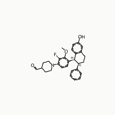 COc1c([C@H]2c3ccc(O)cc3CC[C@H]2c2ccccc2)ccc(N2CCC(C=O)CC2)c1F